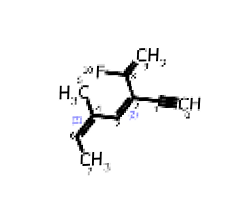 C#C/C(=C/C(C)=C\C)C(=C)F